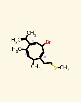 C=C(C)C1=C/C(Br)/C=C(/CCSC)C(C)/C=C\1C